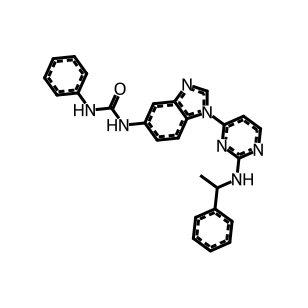 CC(Nc1nccc(-n2cnc3cc(NC(=O)Nc4ccccc4)ccc32)n1)c1ccccc1